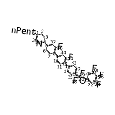 CCCCCc1ccc(-c2ccc(-c3ccc(-c4ccc(C(F)(F)Oc5cc(F)c(F)c(F)c5)cc4)c(F)c3)c(F)c2)nc1